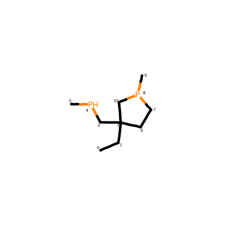 CCC1(CPC)CCP(C)C1